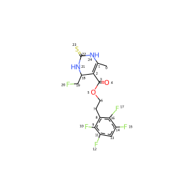 CC1=C(C(=O)OCCc2c(F)c(F)cc(F)c2F)C(CF)NC(=S)N1